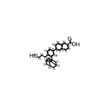 O=C(O)c1ccc2cc(-c3ccc(CCCO)c(C45CC6CC(CC(C6)C4)C5)c3)ccc2c1